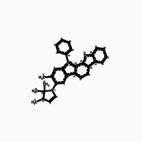 Cc1cc2c(cc1N1C=CN(C)C1(C)C)c1ccc3c4ccccc4oc3c1n2-c1ccccc1